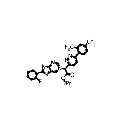 CC(C)OC(=O)C(c1ccc(-c2ccc(C(F)(F)F)cc2C(F)(F)F)nn1)n1cnc2nc(-c3ccccc3F)nc-2c1